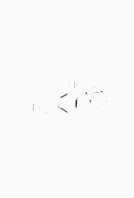 CCCOc1ccc(C2(O)CC3CCC2C3)cc1